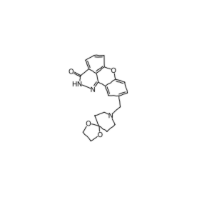 O=c1[nH]nc2c3c(cccc13)Oc1ccc(CN3CCC4(CC3)OCCO4)cc1-2